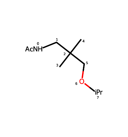 CC(=O)NCC(C)(C)COC(C)C